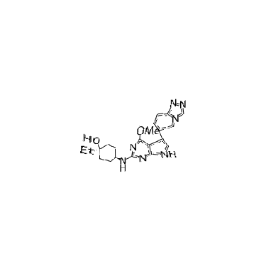 CC[C@]1(O)CC[C@@H](Nc2nc(OC)c3c(-c4ccc5nncn5c4)c[nH]c3n2)CC1